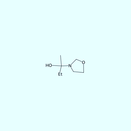 CCC(C)(O)N1CCOC1